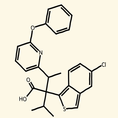 CC(C)C(C(=O)O)(c1scc2cc(Cl)ccc12)C(C)c1cccc(Oc2ccccc2)n1